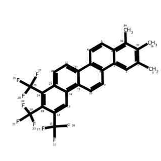 Cc1cc2c(ccc3c2ccc2c4cc(C(F)(F)F)c(C(F)(F)F)c(C(F)(F)F)c4ccc23)c(C)c1C